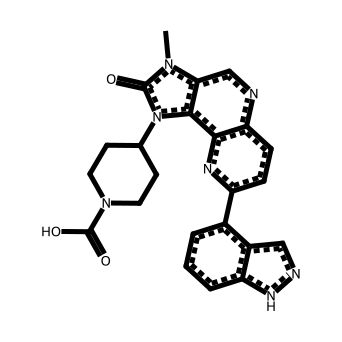 Cn1c(=O)n(C2CCN(C(=O)O)CC2)c2c3nc(-c4cccc5[nH]ncc45)ccc3ncc21